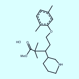 COC(=O)C(C)(C)C(CCOc1cc(C)ccc1C)C1CCCNC1.Cl